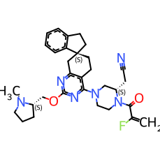 C=C(F)C(=O)N1CCN(c2nc(OC[C@@H]3CCCN3C)nc3c2CC[C@@]2(CCc4ccccc42)C3)C[C@@H]1CC#N